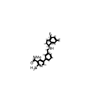 CNC(=O)c1cc(-c2cccc(CNC3CCc4c(F)cc(F)cc43)c2)cnc1N